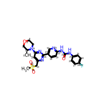 C[C@H]1COCCN1c1cc(CS(C)(=O)=O)nc(-c2ccc(NC(=O)Nc3ccc(F)cc3)nc2)n1